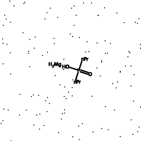 CCCP(=O)(O)CCC.[MgH2]